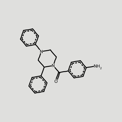 Nc1ccc(C(=O)N2CCN(c3ccccc3)CC2c2ccccc2)cc1